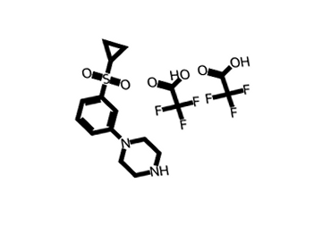 O=C(O)C(F)(F)F.O=C(O)C(F)(F)F.O=S(=O)(c1cccc(N2CCNCC2)c1)C1CC1